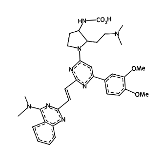 COc1ccc(-c2cc(N3CCC(NC(=O)O)C3CCN(C)C)nc(/C=C/c3nc(N(C)C)c4ccccc4n3)n2)cc1OC